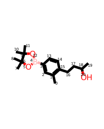 Cc1cc(B2OC(C)(C)C(C)(C)O2)ccc1CCC(C)O